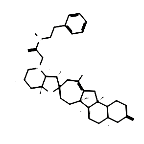 CC1=C2C[C@H]3[C@@H](CC[C@@H]4CC(=O)CC[C@@]43C)[C@@H]2CCC2(C1)O[C@@H]1C[C@H](C)CN(CC(=O)N(C)CCc3ccccc3)[C@H]1[C@H]2C